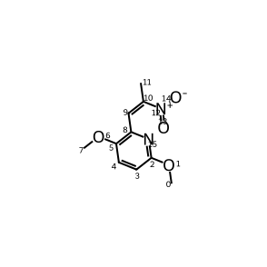 COc1ccc(OC)c(C=C(C)[N+](=O)[O-])n1